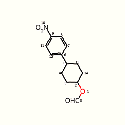 O=COC1CCC(c2ccc([N+](=O)[O-])cc2)CC1